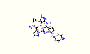 NC(=O)[C@@H]1CCCN1c1nc(Nc2cc(C3CC3)[nH]n2)c2ccc(CN3CCNCC3)n2n1